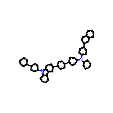 c1ccc(-c2ccc(-n3c4ccccc4c4cc(-c5ccc(-c6ccc(N(c7ccccc7)c7ccc(-c8ccc9ccccc9c8)cc7)cc6)cc5)ccc43)cc2)cc1